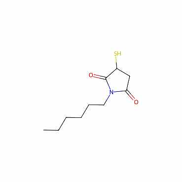 CCCCCCN1C(=O)CC(S)C1=O